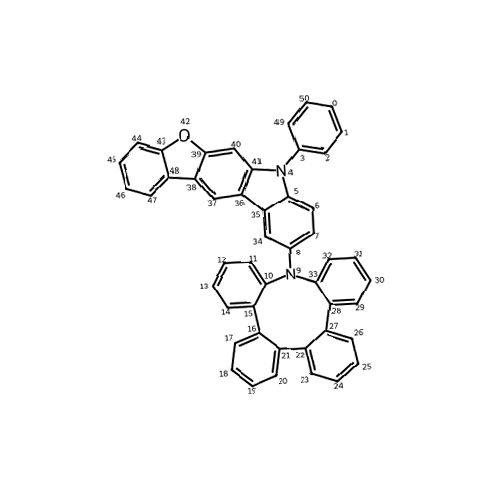 c1ccc(-n2c3ccc(-n4c5ccccc5c5ccccc5c5ccccc5c5ccccc54)cc3c3cc4c(cc32)oc2ccccc24)cc1